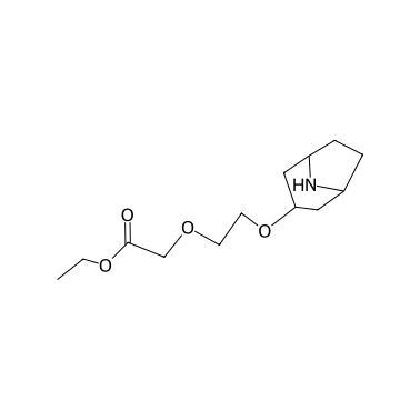 CCOC(=O)COCCOC1CC2CCC(C1)N2